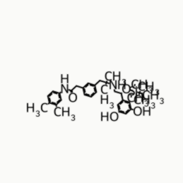 Cc1ccc(NC(=O)Cc2cccc(CC(C)(C)NCC(O[Si](C)(C)C(C)(C)C)c3cc(O)cc(O)c3)c2)cc1C